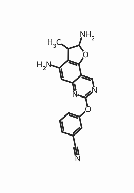 CC1c2c(N)cc3nc(Oc4cccc(C#N)c4)ncc3c2OC1N